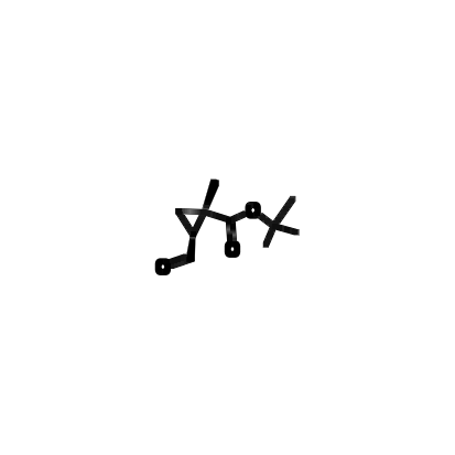 CC(C)(C)OC(=O)[C@@]1(C)C[C@@H]1C=O